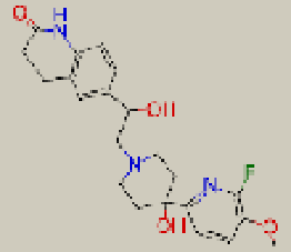 COc1ccc(C2(O)CCN(CC(O)c3ccc4c(c3)CCC(=O)N4)CC2)nc1F